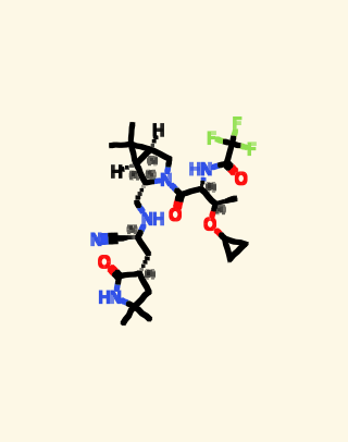 C[C@@H](OC1CC1)[C@@H](NC(=O)C(F)(F)F)C(=O)N1C[C@H]2[C@@H]([C@H]1CN[C@H](C#N)C[C@@H]1CC(C)(C)NC1=O)C2(C)C